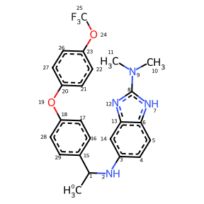 CC(Nc1ccc2[nH]c(N(C)C)nc2c1)c1ccc(Oc2ccc(OC(F)(F)F)cc2)cc1